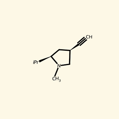 C#C[C@@H]1C[C@H](C(C)C)N(C)C1